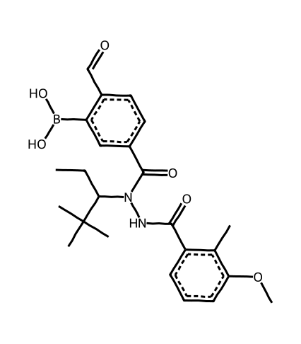 CCC(N(NC(=O)c1cccc(OC)c1C)C(=O)c1ccc(C=O)c(B(O)O)c1)C(C)(C)C